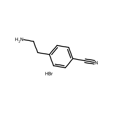 Br.N#Cc1ccc(CCN)cc1